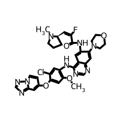 COc1cc(Oc2ccn3ncnc3c2)c(Cl)cc1Nc1ncnc2cc(N3CCOCC3)c(NC(=O)/C(F)=C\[C@H]3CCCN3C)cc12